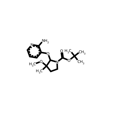 COC1(C)CCN(C(=O)OC(C)(C)C)C1Oc1cccnc1N